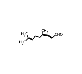 CC(=C=CC=O)CCC=C(C)C